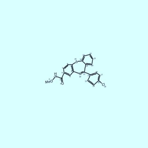 CONC(=O)c1ccc2c(c1)N=C(c1ccc(Cl)cc1)c1ccccc1S2